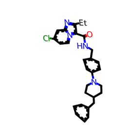 CCc1nc2cc(Cl)ccn2c1C(=O)NCc1ccc(N2CCC(Cc3ccccc3)CC2)cc1